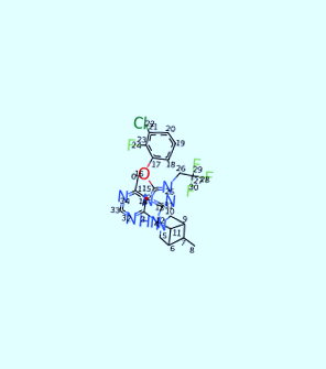 Cc1cc(N2CC3C(C)C(C2)C3Nc2nc(Oc3cccc(Cl)c3F)n(CC(F)(F)F)n2)ncn1